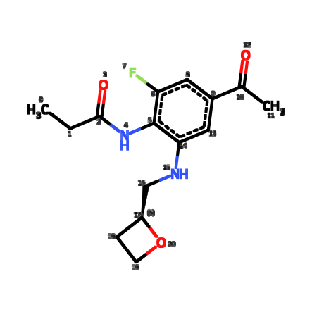 CCC(=O)Nc1c(F)cc(C(C)=O)cc1NC[C@@H]1CCO1